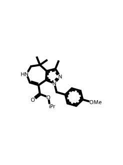 COc1ccc(Cn2nc(C)c3c2C(C(=O)OC(C)C)=CNCC3(C)C)cc1